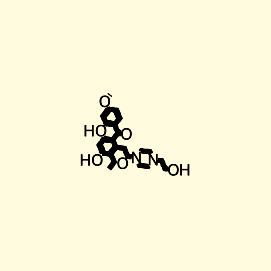 CCc1c(O)cc(O)c(C(=O)c2ccc(OC)cc2)c1CC(=O)N1CCN(CCO)CC1